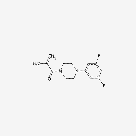 C=C(C)C(=O)N1CCN(c2cc(F)cc(F)c2)CC1